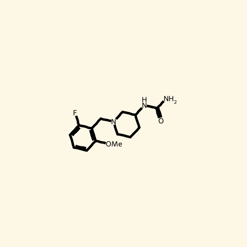 COc1cccc(F)c1CN1CCCC(NC(N)=O)C1